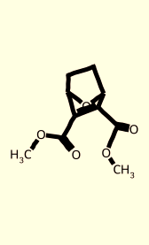 COC(=O)C1=C(C(=O)OC)C2CCC1O2